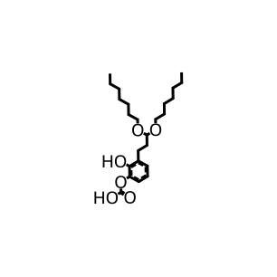 CCCCCCCOC(CCc1cccc(OC(=O)O)c1O)OCCCCCCC